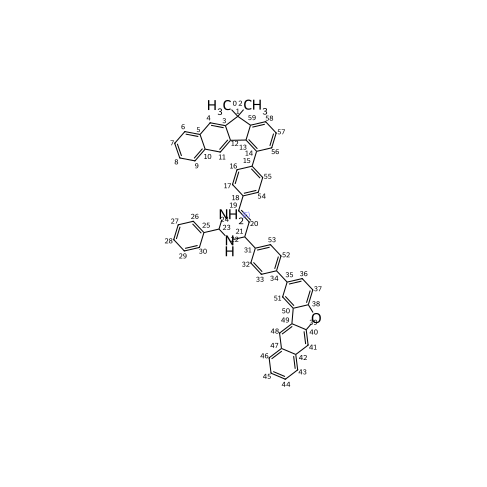 CC1(C)c2cc3ccccc3cc2-c2c(-c3ccc(/C=C/C(NC(N)c4ccccc4)c4ccc(-c5ccc6oc7cc8ccccc8cc7c6c5)cc4)cc3)cccc21